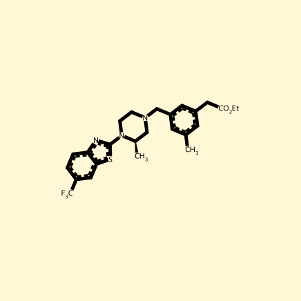 CCOC(=O)Cc1cc(C)cc(CN2CCN(c3nc4ccc(C(F)(F)F)cc4s3)[C@H](C)C2)c1